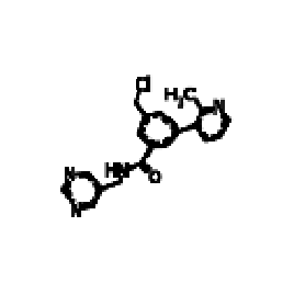 Cc1ncccc1-c1cc(CCl)cc(C(=O)NCc2cncnc2)c1